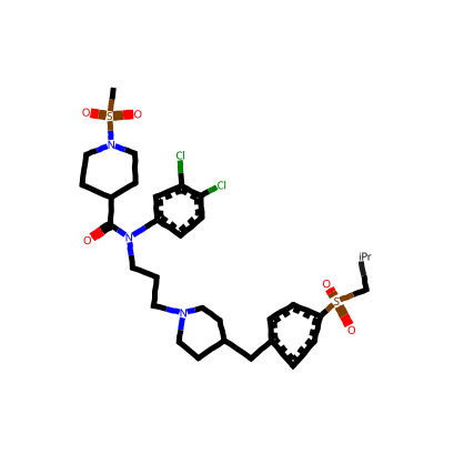 CC(C)CS(=O)(=O)c1ccc(CC2CCN(CCCN(C(=O)C3CCN(S(C)(=O)=O)CC3)c3ccc(Cl)c(Cl)c3)CC2)cc1